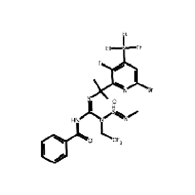 CCS(CC)(CC)c1cc(Br)nc(C(C)(C)/N=C(/NC(=O)c2ccccc2)N(CC(F)(F)F)/[SH](=O)=N/C)c1F